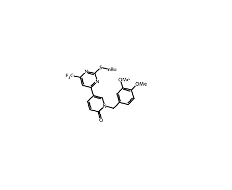 CCCCSc1nc(-c2ccc(=O)n(Cc3ccc(OC)c(OC)c3)c2)cc(C(F)(F)F)n1